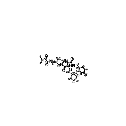 CN(C)C(=O)C(=O)NCC1CCc2nc(C(=O)NCc3ccc(F)cc3)c(OCc3ccccc3)c(=O)n2C1